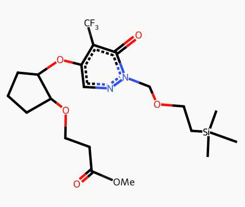 COC(=O)CCOC1CCCC1Oc1cnn(COCC[Si](C)(C)C)c(=O)c1C(F)(F)F